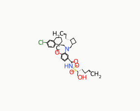 C=CCC[C@H](CO)S(=O)(=O)NC(=O)c1ccc2c(c1)N(C[C@@H]1CC[C@H]1CC=C)C[C@@]1(CCCc3cc(Cl)ccc31)CO2